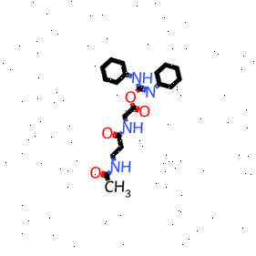 CC(=O)NCCC(=O)NCC(=O)O/C(=N/C1CCCCC1)NC1CCCCC1